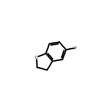 Fc1ccc2c(c1)C[C]O2